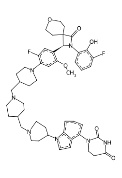 COc1cc(N2CCC(CN3CCC(CN4CCC(n5ccc6c(N7CCC(=O)NC7=O)cccc65)CC4)CC3)CC2)c(F)cc1[C@@H]1N(c2cccc(F)c2O)C(=O)C12CCOCC2